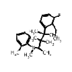 CCC1C(C(C)(C)C(C)(C)C(C)N(C)c2ccccc2C)=CC=CC1F